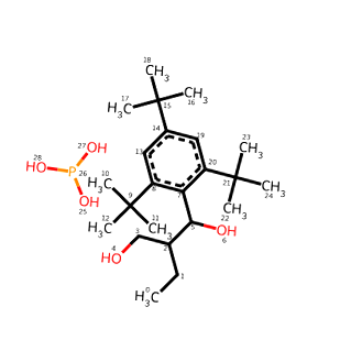 CCC(CO)C(O)c1c(C(C)(C)C)cc(C(C)(C)C)cc1C(C)(C)C.OP(O)O